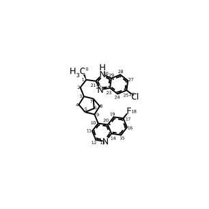 C[C@H](CC1CC2CC1CC2c1ccnc2ccc(F)cc12)c1nc2cc(Cl)ccc2[nH]1